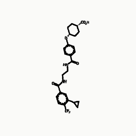 O=C(NCCNC(=O)c1ccc(C(F)(F)F)c(C2CC2)c1)c1ccc(O[C@H]2CC[C@@H](C(=O)O)CC2)cc1